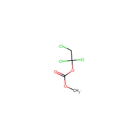 [CH2]OC(=O)OC(Cl)(Cl)CCl